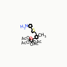 CC(=O)O[C@H]1OC(c2ccc(C)c(Cc3ccc(-c4cccc(N)c4)s3)c2)[C@H](OC(C)=O)[C@@H](OC(C)=O)[C@@H]1OC(C)=O